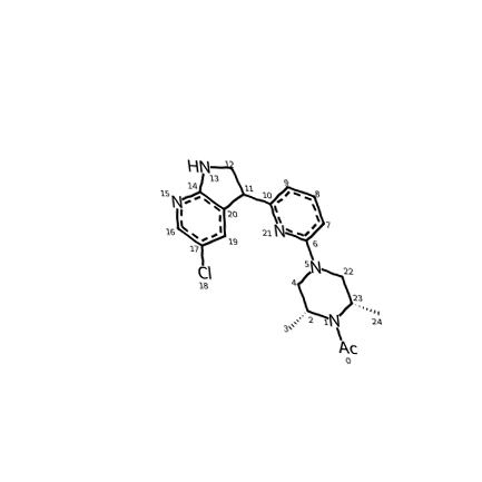 CC(=O)N1[C@H](C)CN(c2cccc(C3CNc4ncc(Cl)cc43)n2)C[C@@H]1C